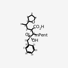 CCCCCC(C(CC(C)C1CCCO1)C(=O)O)P(=O)(O)Cc1ccccc1